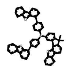 CC1(C)c2ccc(N(c3ccc(-c4cccc5c4oc4ccccc45)cc3)c3ccc(-c4cccc5c4oc4ccccc45)cc3)cc2-c2c1ccc1c2oc2ccccc21